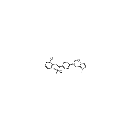 Cc1ccsc1CN(C=O)c1ccc(N(Cc2ccccc2Cl)S(C)(=O)=O)cc1